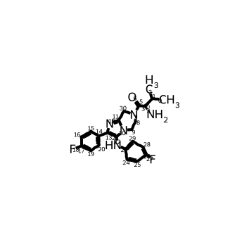 CC(C)[C@@H](N)C(=O)N1CCn2c(nc(-c3ccc(F)cc3)c2Nc2ccc(F)cc2)C1